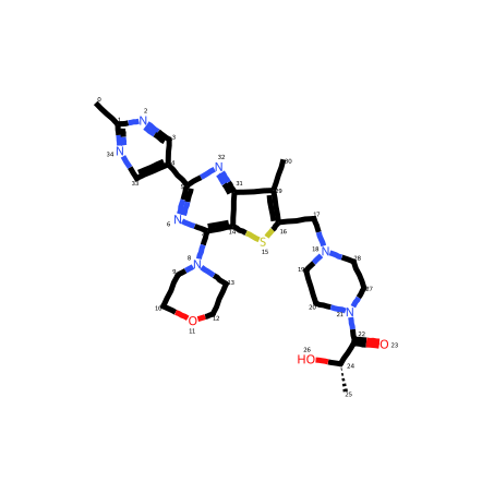 Cc1ncc(-c2nc(N3CCOCC3)c3sc(CN4CCN(C(=O)[C@H](C)O)CC4)c(C)c3n2)cn1